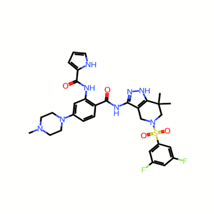 CN1CCN(c2ccc(C(=O)Nc3n[nH]c4c3CN(S(=O)(=O)c3cc(F)cc(F)c3)CC4(C)C)c(NC(=O)c3ccc[nH]3)c2)CC1